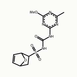 COc1nc(C)nc(NC(=O)NS(=O)(=O)C2CC3C=CC2O3)n1